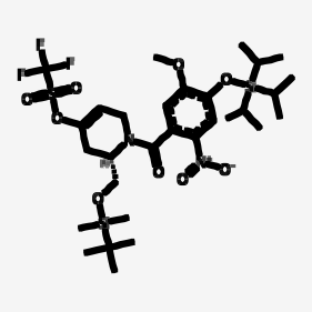 COc1cc(C(=O)N2CC=C(OS(=O)(=O)C(F)(F)F)C[C@H]2CO[Si](C)(C)C(C)(C)C)c([N+](=O)[O-])cc1O[Si](C(C)C)(C(C)C)C(C)C